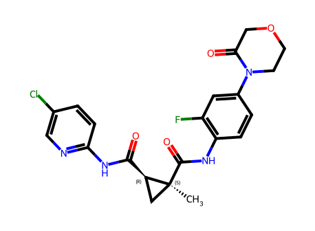 C[C@]1(C(=O)Nc2ccc(N3CCOCC3=O)cc2F)C[C@H]1C(=O)Nc1ccc(Cl)cn1